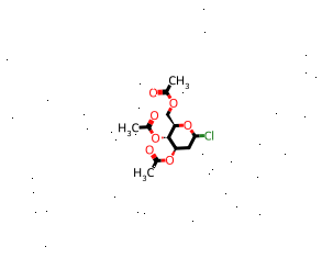 CC(=O)OC[C@H]1OC(Cl)C[C@@H](OC(C)=O)[C@@H]1OC(C)=O